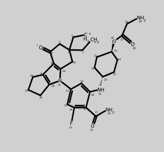 CCC1(CC)CC(=O)c2c3c(n(-c4cc(F)c(C(N)=O)c(N[C@H]5CC[C@H](OC(=O)CN)CC5)c4)c2C1)CCC3